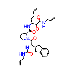 C=CCCC(NC(=O)[C@@H]1CCCN1C(=O)[C@@H](NC(=O)NCC=C)C1Cc2ccccc2C1)C(=O)C(=O)NCC=C